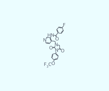 O=C(Nc1cnccc1CN1CC(=O)N(c2ccc(OC(F)(F)F)cc2)C1=O)c1ccc(F)cc1